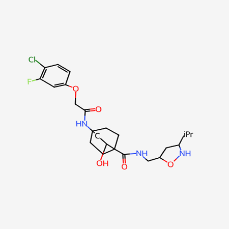 CC(C)C1CC(CNC(=O)C23CCC(NC(=O)COc4ccc(Cl)c(F)c4)(CC2)CC3O)ON1